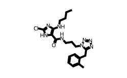 CCCCNc1nc(Cl)[nH]c1C(=O)NCCCn1nnnc1Cc1ccccc1C